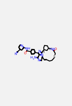 N#Cc1ccnc(NC(=O)c2ccc(-c3nc4n5c(cnc(N)c35)/C=C/CCCCCC(=O)N[C@@H]3CCC[C@@H]4C3)cc2)c1